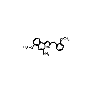 COc1ccccc1Cc1cc2c3cccc(OC)c3nc(N)n2n1